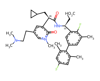 Cc1cc(-c2c(C)cc(F)cc2C)cc([C@H](CC(=O)O)NC(=O)[C@H](CC2CC2)c2cc(CCN(C)C)cn(C)c2=O)c1F